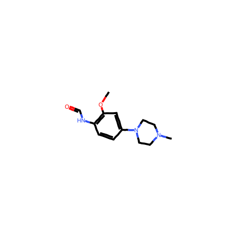 COc1cc(N2CCN(C)CC2)ccc1NC=O